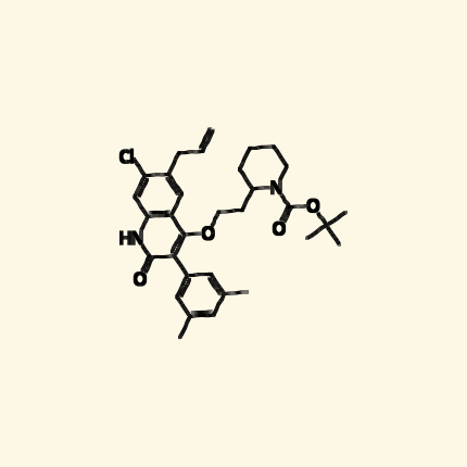 C=CCc1cc2c(OCCC3CCCCN3C(=O)OC(C)(C)C)c(-c3cc(C)cc(C)c3)c(=O)[nH]c2cc1Cl